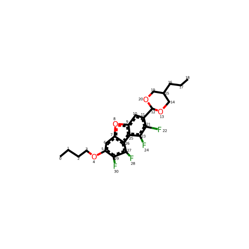 CCCCOc1cc2oc3cc(C4OCC(CCC)CO4)c(F)c(F)c3c2c(F)c1F